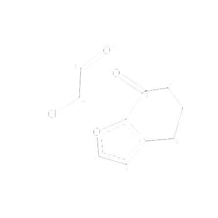 O=C1CCCc2ccoc21.O=CCCl